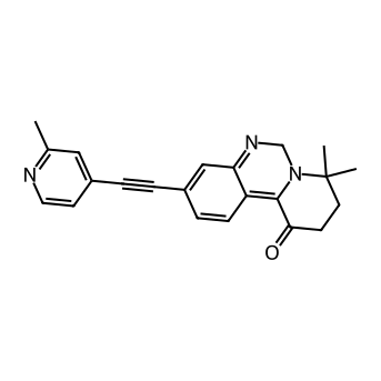 Cc1cc(C#Cc2ccc3c(c2)=NCN2C=3C(=O)CCC2(C)C)ccn1